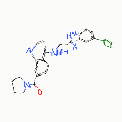 O=C(c1ccc2c(NCc3nc4cc(Cl)ccc4[nH]3)ccnc2c1)N1CCCC1